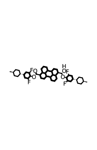 C[C@H]1CC[C@H](c2cc(F)c(OC(=O)c3ccc4c5cccc6c(C(O)Oc7c(F)cc([C@H]8CC[C@H](C)CC8)cc7F)ccc(c7cccc3c47)c65)c(F)c2)CC1